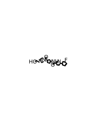 O=C(N[C@H]1CC[C@@H](C(=O)N2CCN(CCO)CC2)C1)c1ccc(-c2cccc(F)c2)nc1